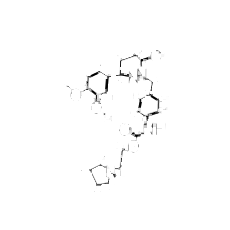 COc1ccc(C2=NN(Cc3ccc(NC(=O)OCCN4CCCC4)cc3)C(=O)CC2)cc1OC